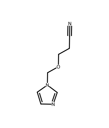 N#CCCOCn1ccnc1